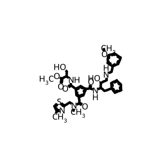 COC(=O)C(CO)NC(=O)c1cc(C(=O)NC(Cc2ccccc2)[C@H](O)CNCc2cccc(OC)c2)cc(C(=O)N(C)Cc2nc(C)cs2)c1